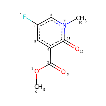 COC(=O)c1cc(F)cn(C)c1=O